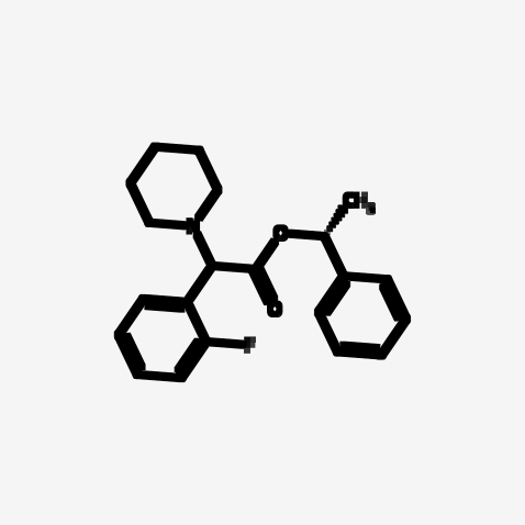 C[C@@H](OC(=O)C(c1ccccc1F)N1CCCCC1)c1ccccc1